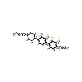 CCCCCC1CCC(c2ccc(-c3ccc(OC)c(F)c3F)c(F)c2F)CC1